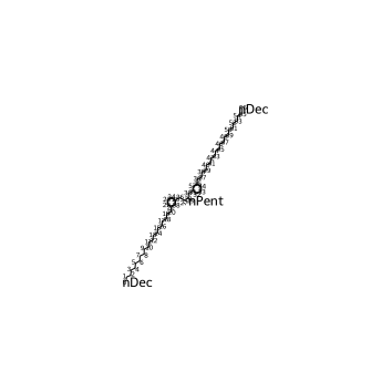 CCCCCCCCCCCCCCCCCCCCCCCCCCCCCCc1cccc(C[CH]C(CCCCC)Cc2cccc(CCCCCCCCCCCCCCCCCCCCCCCCCCCCCC)c2)c1